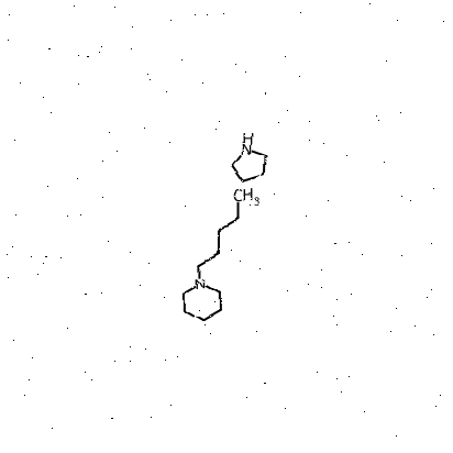 C1CCNC1.CCCCCN1CCCCC1